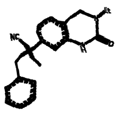 CCN1Cc2ccc(C(C)(C#N)Cc3ccccc3)cc2NC1=O